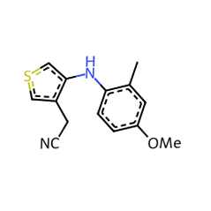 COc1ccc(Nc2cscc2CC#N)c(C)c1